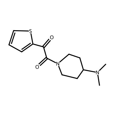 CN(C)C1CCN(C(=O)C(=O)c2cccs2)CC1